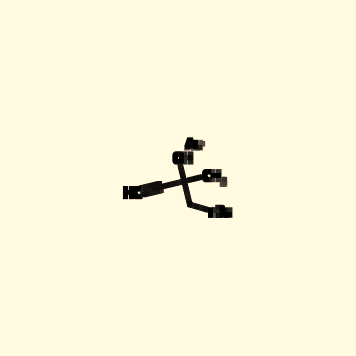 C#CC(C)(O)CCCCC.[Au]